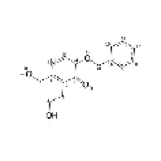 O=C1C(CCO)=C(CO)N=CC1OCc1ccccc1